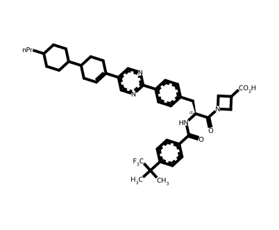 CCCC1CCC(C2CC=C(c3cnc(-c4ccc(C[C@H](NC(=O)c5ccc(C(C)(C)C(F)(F)F)cc5)C(=O)N5CC(C(=O)O)C5)cc4)nc3)CC2)CC1